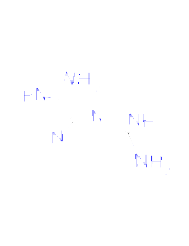 N=C(N)c1ccnc(C(=N)N)n1